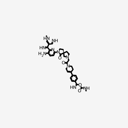 CN/C=C(\C=N)C(=N)c1nc(N2CC[C@]3(CCN(CC(=O)N4CC=C(c5ccc(C(=N)OC(=O)NC)cc5)CC4)C3)C2=O)ccc1N